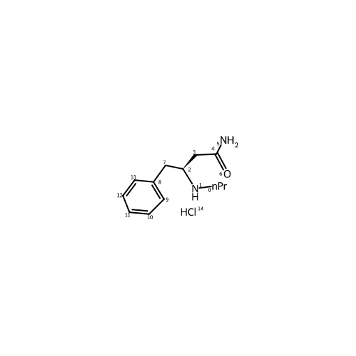 CCCN[C@H](CC(N)=O)Cc1ccccc1.Cl